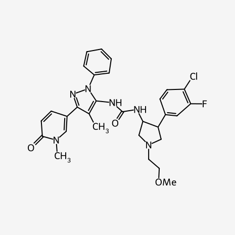 COCCN1CC(NC(=O)Nc2c(C)c(-c3ccc(=O)n(C)c3)nn2-c2ccccc2)C(c2ccc(Cl)c(F)c2)C1